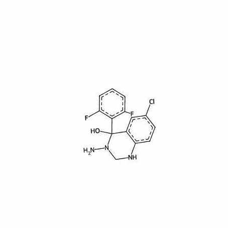 NN1CNc2ccc(Cl)cc2C1(O)c1c(F)cccc1F